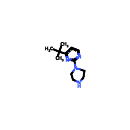 CC(C)(C)c1ccnc(N2CCNCC2)n1